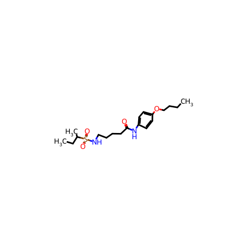 CCCCOc1ccc(NC(=O)CCCCNS(=O)(=O)C(C)CC)cc1